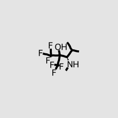 CN[C@@H](C(C)C)C(O)(C(F)(F)F)C(F)(F)F